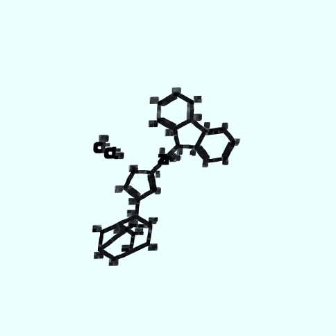 C1=[C]([Zr+2][CH]2c3ccccc3-c3ccccc32)CC=C1C1C2CC3CC(C2)CC1C3.[Cl-].[Cl-]